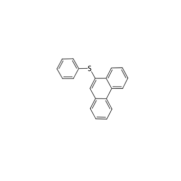 c1ccc(Sc2cc3ccccc3c3ccccc23)cc1